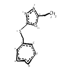 Cc1nnc(Sc2ccccc2)o1